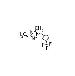 CSC1=NC(C)N(Cc2ccc(C(F)(F)F)s2)C=N1